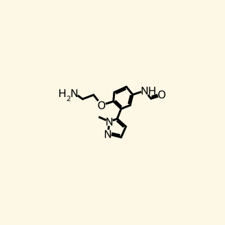 Cn1nccc1-c1cc(NC=O)ccc1OCCN